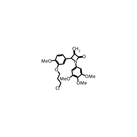 C=C1C(=O)N(c2cc(OC)c(OC)c(OC)c2)C1c1ccc(OC)c(OCCCCl)c1